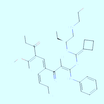 CC\C=C/C(=C\C(C(=O)CC)=C(/C)OC)C(=N)/C(C)=C(/NC(N[C@@H](CC)CNCCO)=C1CCC1)Nc1ccccc1